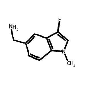 Cn1cc(F)c2cc(CN)ccc21